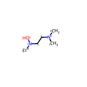 CCN(O)CCN(C)C